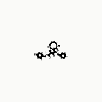 CN1CCCCNn2cc(C(=O)NCc3ccc(F)cc3F)c(=O)c(OCc3ccccc3)c2C1=O